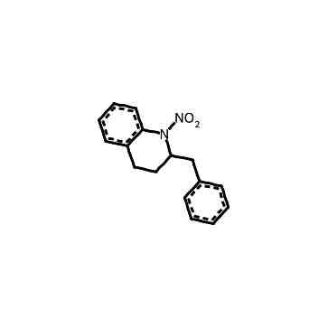 O=[N+]([O-])N1c2ccccc2CCC1Cc1ccccc1